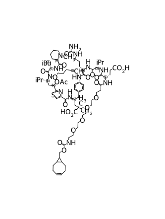 C#CCCCON(C(=O)[C@@H](NC(=O)[C@H]1CCCCN1C)[C@@H](C)CC)[C@H](C[C@@H](OC(C)=O)c1nc(C(=O)N[C@@H](Cc2ccc(NC(=O)[C@H](CCCNC(N)=O)NC(=O)[C@@H](NC(=O)[C@H](CCC(=O)O)NC(=O)CCOCCOCCOCCOCCNC(=O)OCC3C4CCC#CCCC43)C(C)C)cc2)CC(C)(C)C(=O)O)cs1)C(C)C